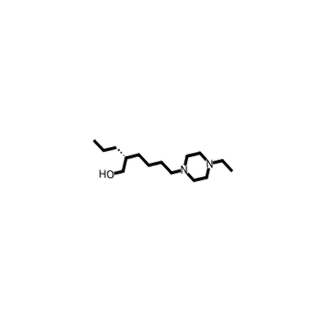 CCC[C@@H](CO)CCCCN1CCN(CC)CC1